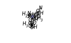 C[C@H]1[C@H](NC(=O)/C(=N\OC(C)(C)C(=O)NNC(=O)CC#N)c2csc(N)n2)C(=O)N1S(=O)(=O)O